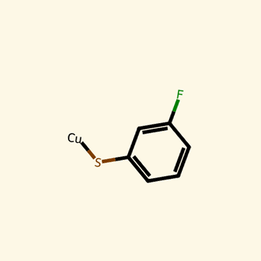 Fc1cccc([S][Cu])c1